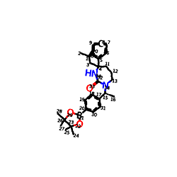 C=C(C)CC1(c2ccccc2)CCCN([C@@H](C)c2ccc(B3OC(C)(C)C(C)(C)O3)cc2)C(=O)N1